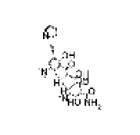 CN(C)c1cc(C#Cc2ccccn2)c(O)c2c1C[C@@H]1C[C@@H]3[C@@H](N(C)C)C(O)=C(C(N)=O)C(=O)[C@]3(O)C(O)=C1C2=O